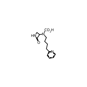 O=C1NCC1N(CCCCc1ccccn1)C(=O)O